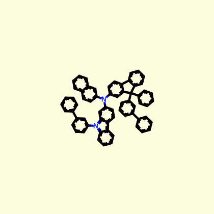 c1ccc(-c2cccc(-n3c4ccccc4c4ccc(N(c5ccc6c(c5)C(c5ccccc5)(c5cccc(-c7ccccc7)c5)c5ccccc5-6)c5ccc6ccccc6c5)cc43)c2)cc1